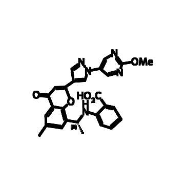 COc1ncc(-n2cc(-c3cc(=O)c4cc(C)cc([C@@H](C)Nc5ccccc5C(=O)O)c4o3)cn2)cn1